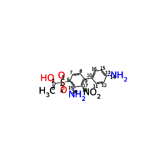 CC(O)S(=O)(=O)c1ccc(-c2ccc(N)cc2)c([N+](=O)[O-])c1N